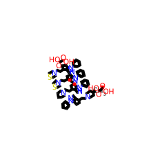 CC1CCN(CCC2CCc3c2cnn3-c2ccccc2)CC1.O=C(O)C(=O)O.O=C(O)C(=O)O.c1ccc(-n2ncc3c2CCC3CCN2CCCCC2)cc1.c1ccc(-n2ncc3c2CCC3CCN2CCSCC2)cc1.c1ccc(-n2ncc3c2CCC3CCN2CCSCC2)cc1